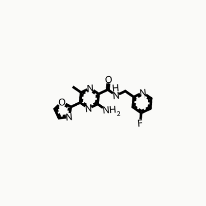 Cc1nc(C(=O)NCc2cc(F)ccn2)c(N)nc1-c1ncco1